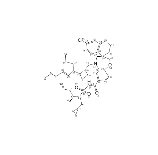 C=CC[C@H](C)C(CC1CC1)S(=O)(=O)NC(=O)c1ccc2c(c1)N(CC1CCC1C(/C=C/CCC)CCC)C[C@@]1(CCCc3cc(Cl)ccc31)CO2